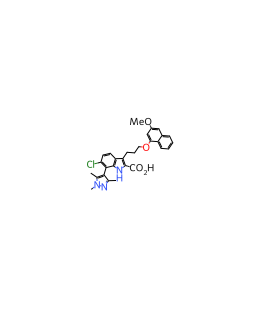 COc1cc(OCCCc2c(C(=O)O)[nH]c3c(-c4c(C)nn(C)c4C)c(Cl)ccc23)c2ccccc2c1